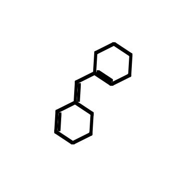 C1=CC(=CC2=CCCCC2)CCC1